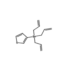 C=C[CH2][Sn]([CH2]C=C)([CH2]C=C)[c]1ccsc1